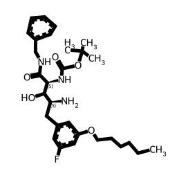 CCCCCCOc1cc(F)cc(C[C@H](N)C(O)[C@H](NC(=O)OC(C)(C)C)C(=O)NCc2ccccc2)c1